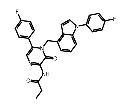 CCC(=O)Nc1ncc(-c2ccc(F)cc2)n(Cc2cccc3c2ccn3-c2ccc(F)cc2)c1=O